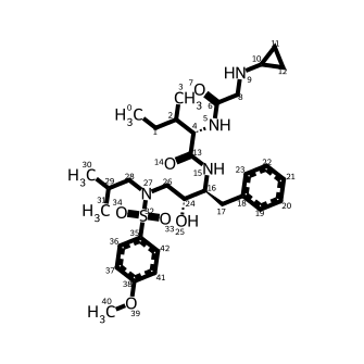 CCC(C)[C@H](NC(=O)CNC1CC1)C(=O)N[C@@H](Cc1ccccc1)[C@H](O)CN(CC(C)C)S(=O)(=O)c1ccc(OC)cc1